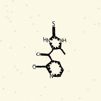 Cc1[nH]c(=S)[nH]c1C(=O)c1cccnc1Cl